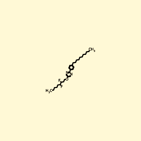 CCCCCCCCCCCc1ccc(-c2ncc(OCCC(F)C(F)CCCCC)cn2)cc1